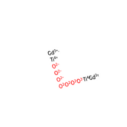 [Gd+3].[Gd+3].[O-2].[O-2].[O-2].[O-2].[O-2].[O-2].[O-2].[Ti+4].[Ti+4]